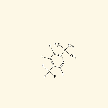 CC(C)(C)c1cc(F)c(C(F)(F)F)c(F)c1F